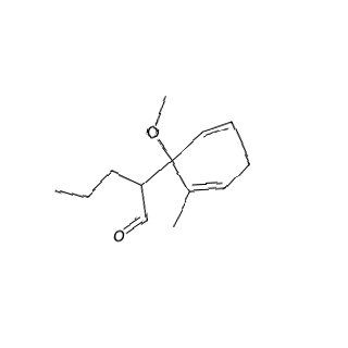 CCCC(C=O)C1(OC)C=CCC=C1C